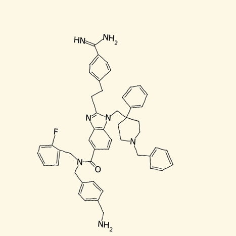 N=C(N)c1ccc(CCc2nc3cc(C(=O)N(Cc4ccc(CN)cc4)Cc4ccccc4F)ccc3n2CC2(c3ccccc3)CCN(Cc3ccccc3)CC2)cc1